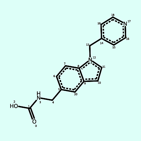 O=C(O)NCc1ccc2c(ccn2Cc2ccncc2)c1